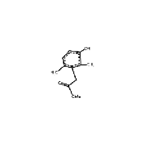 COC(=O)Cc1c(C)ccc(O)c1C